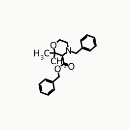 CC1(C)OCCN(Cc2ccccc2)C1C(=O)OCc1ccccc1